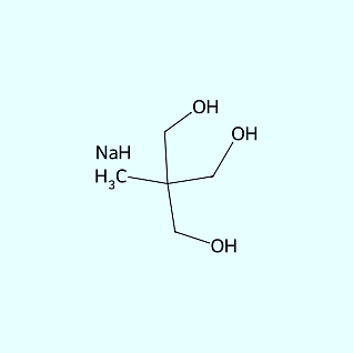 CC(CO)(CO)CO.[NaH]